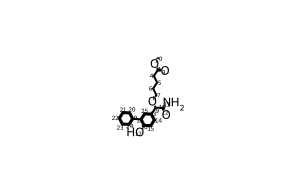 COC(=O)CCCCOC(C(N)=O)c1ccc(O)c(-c2ccccc2)c1